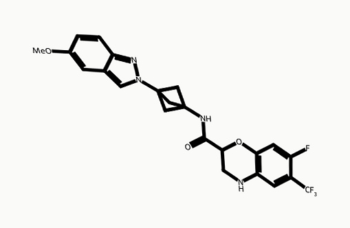 COc1ccc2nn(C34CC(NC(=O)C5CNc6cc(C(F)(F)F)c(F)cc6O5)(C3)C4)cc2c1